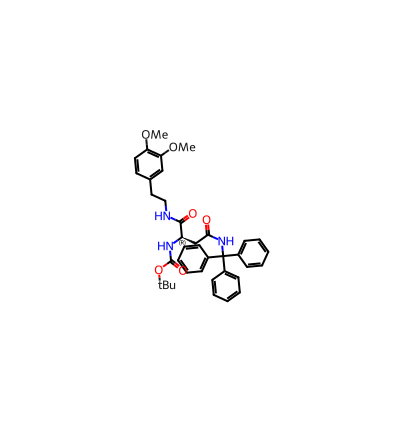 COc1ccc(CCNC(=O)[C@@H](CC(=O)NC(c2ccccc2)(c2ccccc2)c2ccccc2)NC(=O)OC(C)(C)C)cc1OC